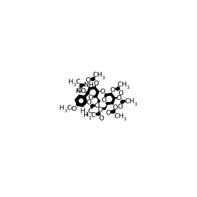 COc1ccc([C@@]2(O)O[C@H](COC(C)=O)[C@@H](O[C@@H]3O[C@H](COC(C)=O)[C@H](OC(C)=O)[C@H](OC(C)=O)[C@H]3OC(C)=O)[C@H](OC(C)=O)[C@H]2NC(C)=O)cc1